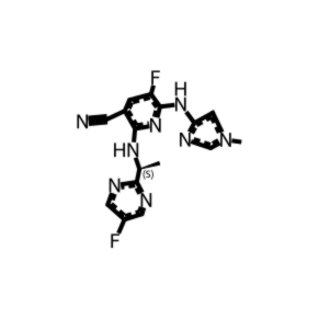 C[C@H](Nc1nc(Nc2cn(C)cn2)c(F)cc1C#N)c1ncc(F)cn1